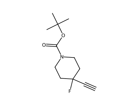 C#CC1(F)CCN(C(=O)OC(C)(C)C)CC1